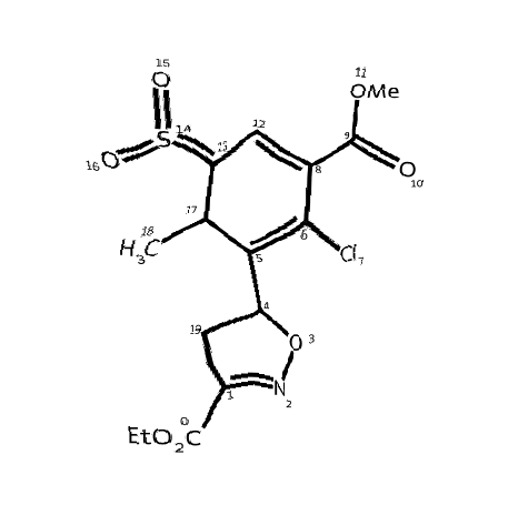 CCOC(=O)C1=NOC(C2=C(Cl)C(C(=O)OC)=CC(=S(=O)=O)C2C)C1